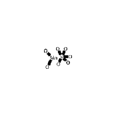 [O]=[Mn]=[O].[O]=[V](=[O])(=[O])(=[O])=[O]